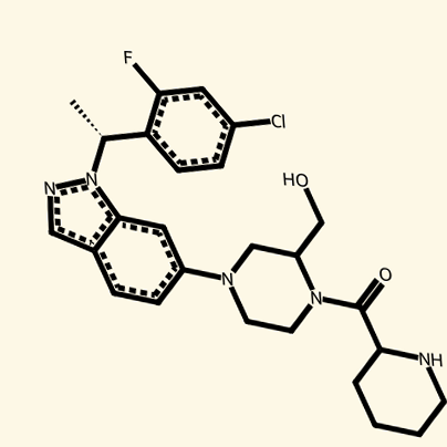 C[C@H](c1ccc(Cl)cc1F)n1ncc2ccc(N3CCN(C(=O)C4CCCCN4)C(CO)C3)cc21